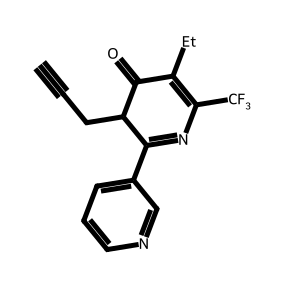 C#CCC1C(=O)C(CC)=C(C(F)(F)F)N=C1c1cccnc1